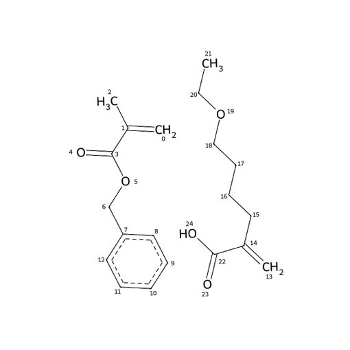 C=C(C)C(=O)OCc1ccccc1.C=C(CCCCOCC)C(=O)O